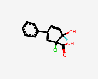 O=C(O)C1(Cl)C=C(c2ccccc2)C=CC1(O)F